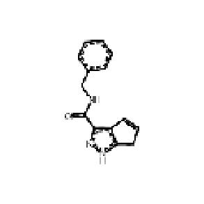 O=C(NCc1ccccc1)c1n[nH]c2c1C=CC2